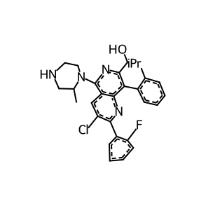 CC(C)c1ccccc1-c1c(CO)nc(N2CCNCC2C)c2cc(Cl)c(-c3ccccc3F)nc12